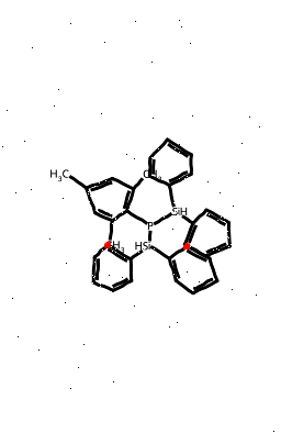 Cc1cc(C)c(P([SiH](c2ccccc2)c2ccccc2)[SiH](c2ccccc2)c2ccccc2)c(C)c1